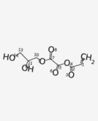 C=CC(=O)OC(=O)C(=O)OCC(O)CO